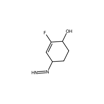 N=NC1C=C(F)C(O)CC1